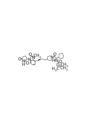 Cn1c(=O)n(C2CCC(=O)NC2=O)c2cccc(C#CCCC3CCN(C(=O)C(NC(=O)OC(C)(C)C)C4CCCCC4)CC3)c21